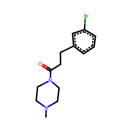 CN1CCN(C(=O)CCc2cccc(Br)c2)CC1